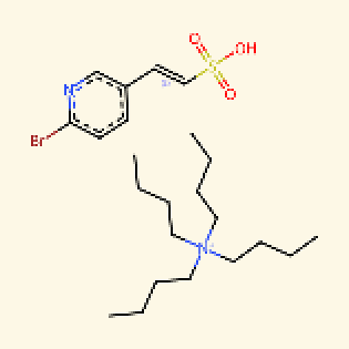 CCCC[N+](CCCC)(CCCC)CCCC.O=S(=O)(O)/C=C/c1ccc(Br)nc1